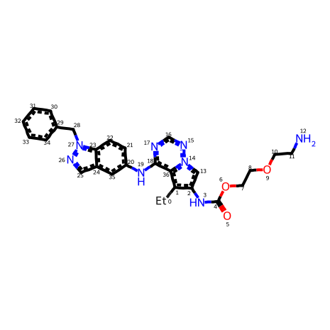 CCc1c(NC(=O)OCCOCCN)cn2ncnc(Nc3ccc4c(cnn4Cc4ccccc4)c3)c12